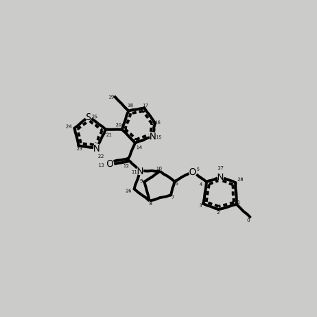 Cc1ccc(OC2CC3CC2N(C(=O)c2nccc(C)c2-c2nccs2)C3)nc1